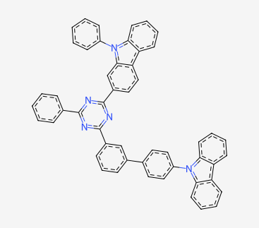 c1ccc(-c2nc(-c3cccc(-c4ccc(-n5c6ccccc6c6ccccc65)cc4)c3)nc(-c3ccc4c5ccccc5n(-c5ccccc5)c4c3)n2)cc1